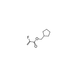 C=C(F)C(=O)OCC1CCCC1